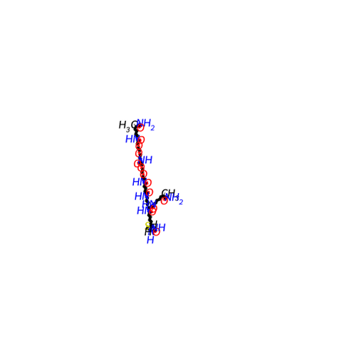 C[C@@H](CCCCNC(=O)COCCOCCNC(=O)COCCOCCNC(=O)CCCC(=O)NCCCC[C@H](NC(=O)CCCCC1SC[C@@H]2NC(=O)N[C@H]12)C(=O)NCCCC[C@H](C)C(N)=O)C(N)=O